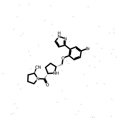 N#C[C@@H]1CCCN1C(=O)[C@@H]1CC[C@H](COc2ccc(Br)cc2-c2cc[nH]n2)N1